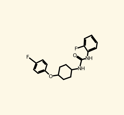 O=C(Nc1ccccc1F)NC1CCC(Oc2ccc(F)cc2)CC1